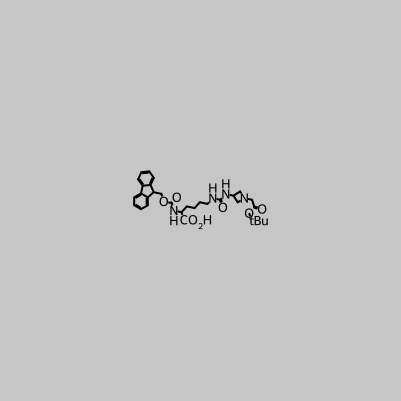 CC(C)(C)OC(=O)CN1CC(NC(=O)NCCCCC(NC(=O)OCC2c3ccccc3-c3ccccc32)C(=O)O)C1